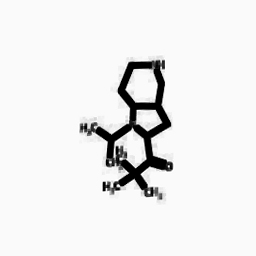 CC(C)N1C(C(=O)C(C)(C)C)CC2CNCCC21